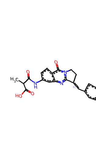 CC(C(=O)O)C(=O)Nc1ccc2c(=O)n3c(nc2c1)/C(=C/c1ccccc1)CC3